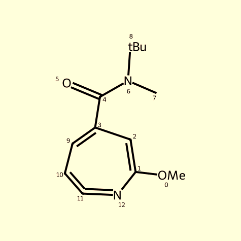 COC1=CC(C(=O)N(C)C(C)(C)C)=CC=C=N1